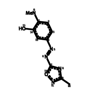 CNc1ccc(/N=N/c2nc(C)no2)cc1O